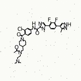 CC(=O)N(CCN(C)C)CC1CCN(C(=O)c2ccc(NC(=O)c3ncc(-c4ccc(-c5c[nH]nc5C)c(F)c4F)n3C)cc2Cl)CC1